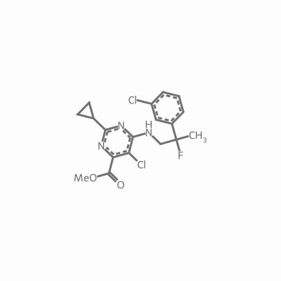 COC(=O)c1nc(C2CC2)nc(NCC(C)(F)c2cccc(Cl)c2)c1Cl